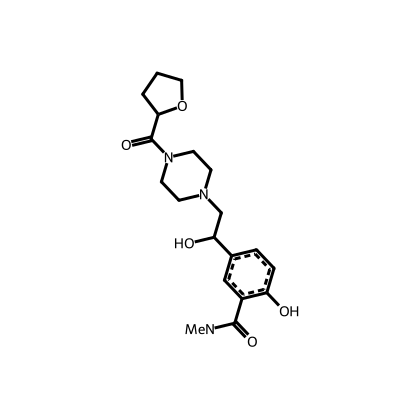 CNC(=O)c1cc(C(O)CN2CCN(C(=O)C3CCCO3)CC2)ccc1O